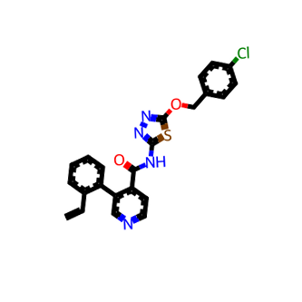 C=Cc1ccccc1-c1cnccc1C(=O)Nc1nnc(OCc2ccc(Cl)cc2)s1